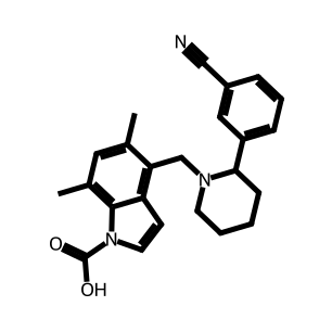 Cc1cc(C)c2c(ccn2C(=O)O)c1CN1CCCCC1c1cccc(C#N)c1